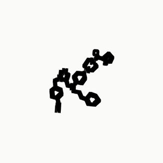 N#Cc1ccc(Cn2cncc2CN(CCCc2ccccc2)c2ccc(N3CCN(C(=O)c4cccs4)CC3)cc2)cc1